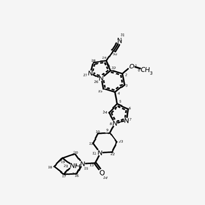 COc1cc(-c2cnn(C3CCN(C(=O)N4CC5CC(C4)N5)CC3)c2)cn2ncc(C#N)c12